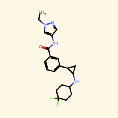 CCn1cc(NC(=O)c2cccc(C3CC3NC3CCC(F)(F)CC3)c2)cn1